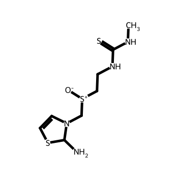 CNC(=S)NCC[S+]([O-])CN1C=CSC1N